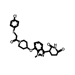 Cn1nc(C2CCC(=O)NC2=O)c2cccc(OC3CCN(C(=O)CSc4ccc(Cl)cc4)CC3)c21